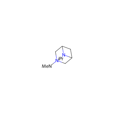 CNN1CC2CC(C1)N2C(C)C